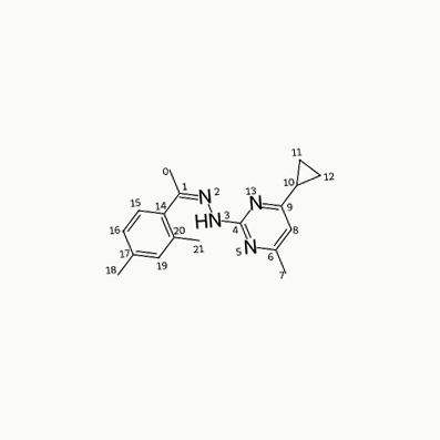 CC(=NNc1nc(C)cc(C2CC2)n1)c1ccc(C)cc1C